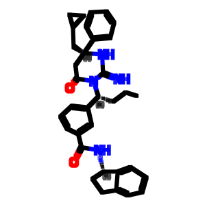 CCC[C@H](c1cccc(C(=O)N[C@H]2CCc3ccccc32)c1)N1C(=N)N[C@@](CC2CC2)(c2ccccc2)CC1=O